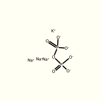 O=P([O-])([O-])OP(=O)([O-])[O-].[K+].[Na+].[Na+].[Na+]